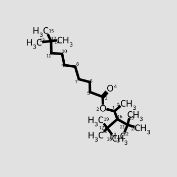 CC(OC(=O)CCCCCCCC(C)(C)C)C(C(C)(C)C)C(C)(C)C